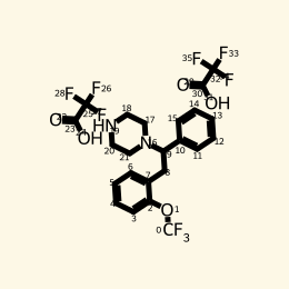 FC(F)(F)Oc1ccccc1CC(c1ccccc1)N1CCNCC1.O=C(O)C(F)(F)F.O=C(O)C(F)(F)F